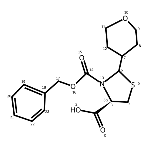 O=C(O)[C@@H]1CSC(C2CCOCC2)N1C(=O)OCc1ccccc1